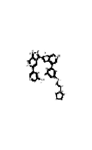 Oc1cncc(-c2cc3c(-c4cc5c(-c6cc(F)cc(OCCN7CCCC7)c6)cncc5[nH]4)n[nH]c3cn2)c1